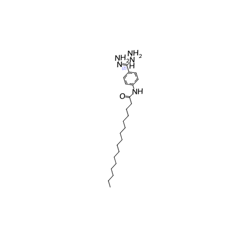 CCCCCCCCCCCCCCCC(=O)Nc1ccc(/C(=N/N)NN)cc1